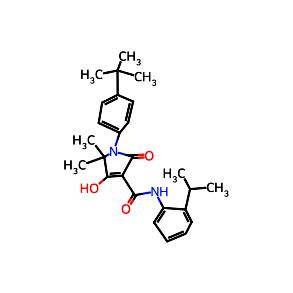 CC(C)c1ccccc1NC(=O)C1=C(O)C(C)(C)N(c2ccc(C(C)(C)C)cc2)C1=O